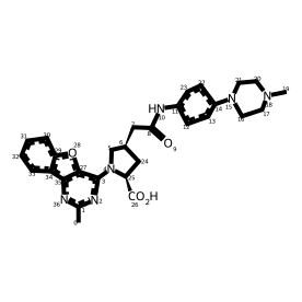 Cc1nc(N2C[C@@H](CC(=O)Nc3ccc(N4CCN(C)CC4)cc3)C[C@H]2C(=O)O)c2oc3ccccc3c2n1